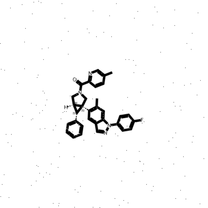 Cc1ccc(C(=O)N2C[C@@H]3[C@@H](c4ccccc4)[C@]3(c3cc4cnn(-c5ccc(F)cc5)c4cc3C)C2)nc1